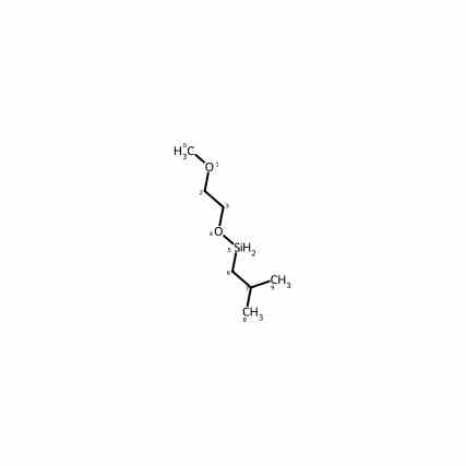 COCCO[SiH2]CC(C)C